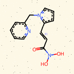 O=C(/C=C/c1cccn1Cc1ccccn1)N(O)O